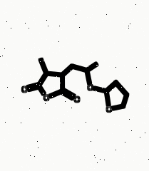 CC(CC1C(=O)OC(=O)C1C)OC1CCCO1